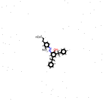 CCCCCCCCCCCCc1ccc(/N=N/c2cc(C(C)(C)c3ccccc3)cc(C(C)(C)c3ccccc3)c2O)c([N+](=O)[O-])c1